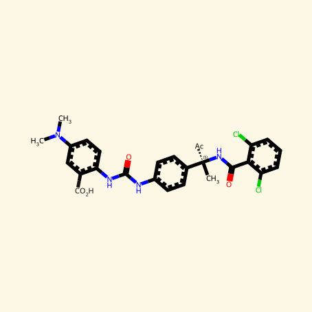 CC(=O)[C@@](C)(NC(=O)c1c(Cl)cccc1Cl)c1ccc(NC(=O)Nc2ccc(N(C)C)cc2C(=O)O)cc1